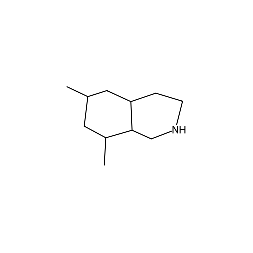 CC1CC(C)C2CNCCC2C1